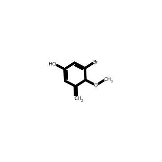 C=C1C=C(O)C=C(Br)C1OC